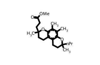 CCCC1(C)CCc2c3c(c(C)c(C)c2O1)OC(C)(CCC(=O)OC)CC3